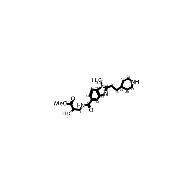 COC(=O)C(C)CNC(=O)c1ccc2c(c1)nc(CCC1CCNCC1)n2C